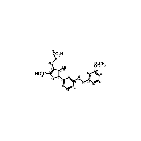 O=C(O)COc1c(C(=O)O)sc(-c2cccc(OCc3cccc(OC(F)(F)F)c3)c2)c1Br